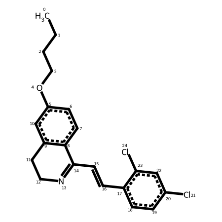 CCCCOc1ccc2c(c1)CCN=C2C=Cc1ccc(Cl)cc1Cl